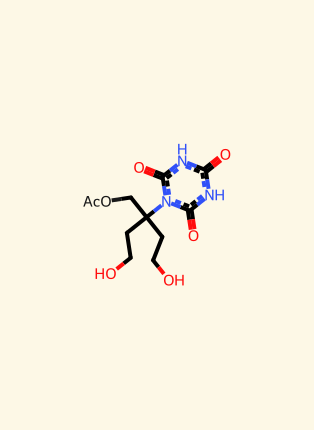 CC(=O)OCC(CCO)(CCO)n1c(=O)[nH]c(=O)[nH]c1=O